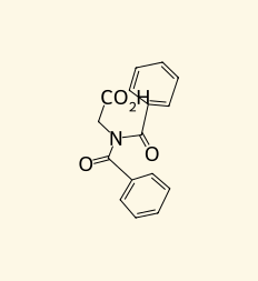 O=C(O)CN(C(=O)c1ccccc1)C(=O)c1ccccc1